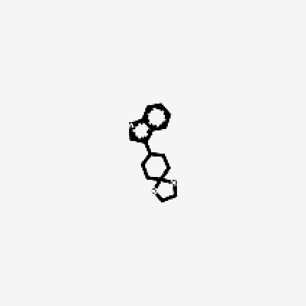 c1ccc2c(C3CCC4(CC3)OCCO4)csc2c1